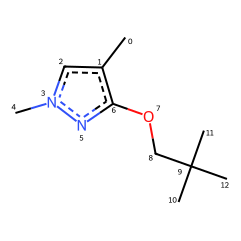 Cc1cn(C)nc1OCC(C)(C)C